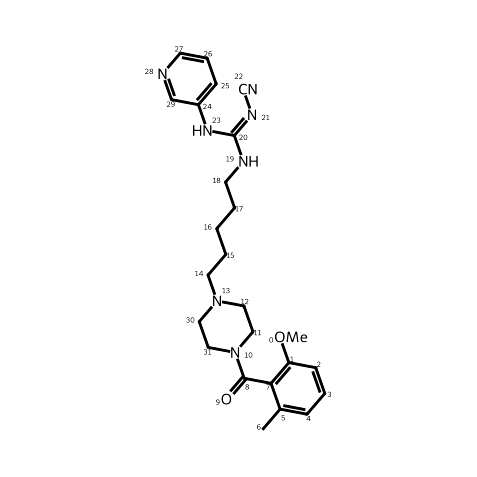 COc1cccc(C)c1C(=O)N1CCN(CCCCCN/C(=N/C#N)Nc2cccnc2)CC1